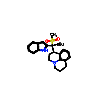 CCCCC(c1cc2ccccc2[nH]1)(C1CCN2CCCc3cccc1c32)S(C)(=O)=O